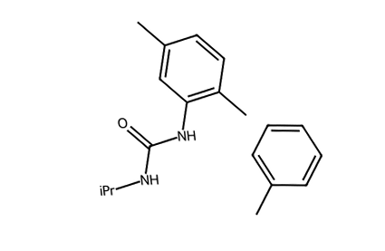 Cc1ccc(C)c(NC(=O)NC(C)C)c1.Cc1ccccc1